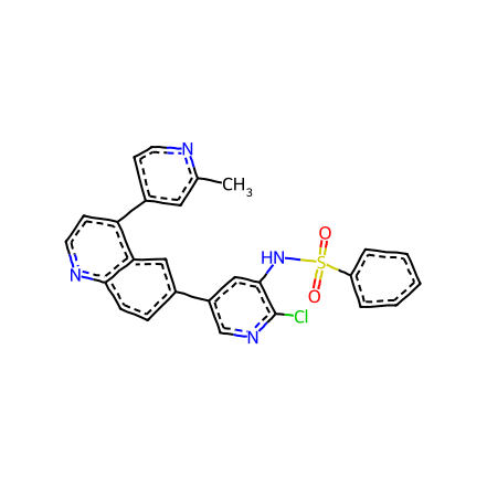 Cc1cc(-c2ccnc3ccc(-c4cnc(Cl)c(NS(=O)(=O)c5ccccc5)c4)cc23)ccn1